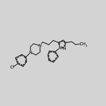 CCCc1cc(CCCN2CCN(c3ccc(Cl)cc3)CC2)n(-c2ccccc2)n1